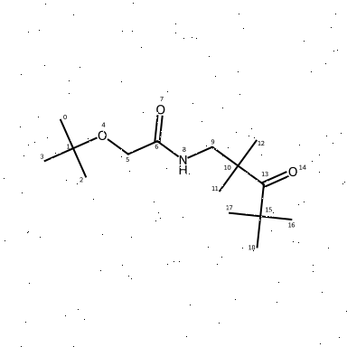 CC(C)(C)OCC(=O)NCC(C)(C)C(=O)C(C)(C)C